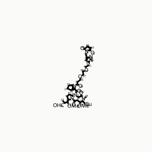 CCC(C)C(C(CC(=O)N1CCCC1C(OC)C(C)C=O)OC)N(C)C(=O)CNC(=O)C1C2CCC(C2)N1C(=O)CCOCCOCCn1cc(CN2C(=O)C=CC2=O)nn1